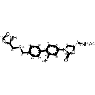 CC(=O)NC[C@H]1CN(c2ccc(-c3ccc(CSCC4N=CON4)cc3)c(F)c2)C(=O)O1